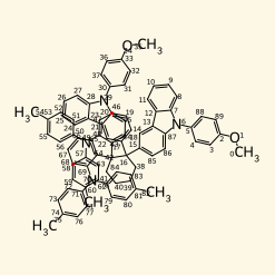 COc1ccc(-n2c3ccccc3c3cc(C4(c5ccc6c(c5)c5ccccc5n6-c5ccc(OC)cc5)CCCCC4(c4ccccc4N(c4ccc(C)cc4)c4ccc(C)cc4)c4ccccc4N(c4ccc(C)cc4)c4ccc(C)cc4)ccc32)cc1